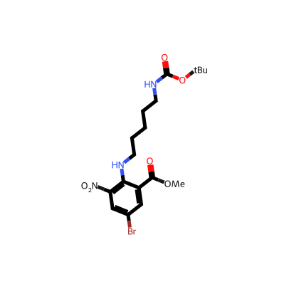 COC(=O)c1cc(Br)cc([N+](=O)[O-])c1NCCCCCNC(=O)OC(C)(C)C